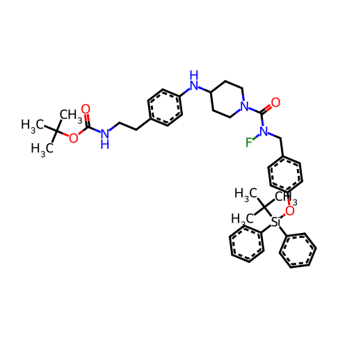 CC(C)(C)OC(=O)NCCc1ccc(NC2CCN(C(=O)N(F)Cc3ccc(O[Si](c4ccccc4)(c4ccccc4)C(C)(C)C)cc3)CC2)cc1